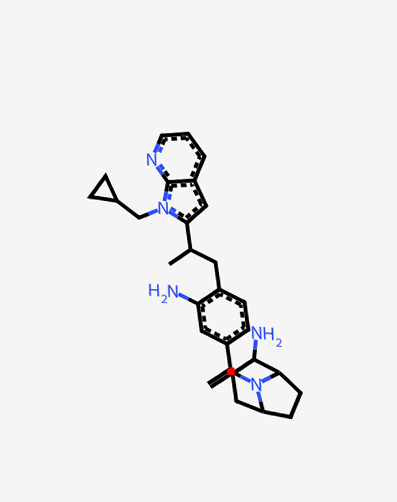 C=C(c1ccc(CC(C)c2cc3cccnc3n2CC2CC2)c(N)c1)N1C2CCC(N)C1CC2